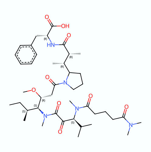 CC[C@H](C)[C@@H]([C@@H](CC(=O)N1CCCC1[C@H](C)[C@@H](C)C(=O)N[C@H](Cc1ccccc1)C(=O)O)OC)N(C)C(=O)C(=O)[C@H](C(C)C)N(C)C(=O)CCCC(=O)N(C)C